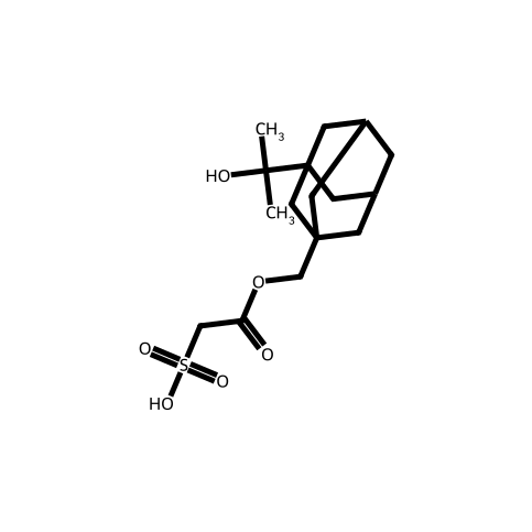 CC(C)(O)C12CC3CC(CC(COC(=O)CS(=O)(=O)O)(C3)C1)C2